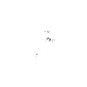 CC(C)(C)[Si](C)(C)O[C@H](CNCCCCCCCCCN1CCC(OC(=O)Nc2ccccc2-c2ccccc2)CC1)c1ccc(OCc2ccccc2)c(NC=O)c1